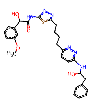 COc1cccc(C(O)C(=O)Nc2nnc(CCCCc3ccc(NC(O)Cc4ccccc4)nn3)s2)c1